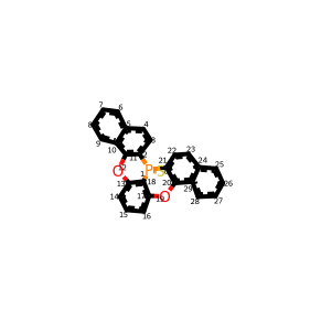 S=P12c3ccc4ccccc4c3Oc3cccc(c31)Oc1c2ccc2ccccc12